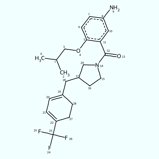 CC(C)COc1ccc(N)cc1C(=O)N1CCC(CC2=CC=C(C(F)(F)F)CC2)C1